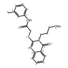 COCCCn1c(SCC(=O)Nc2cccc(C)c2)nc2ccccc2c1=O